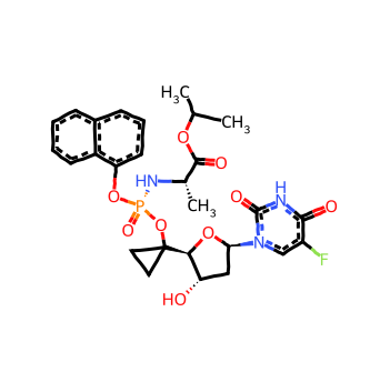 CC(C)OC(=O)[C@H](C)N[P@](=O)(Oc1cccc2ccccc12)OC1([C@H]2O[C@@H](n3cc(F)c(=O)[nH]c3=O)C[C@@H]2O)CC1